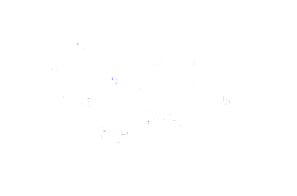 O=C(O)[C@@H]1CCCCN1c1ccc(Br)cc1